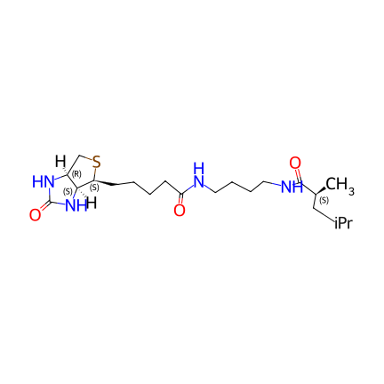 CC(C)C[C@H](C)C(=O)NCCCCNC(=O)CCCC[C@@H]1SC[C@@H]2NC(=O)N[C@@H]21